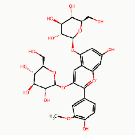 COc1cc(-c2[o+]c3cc(O)cc(O[C@@H]4O[C@H](CO)[C@@H](O)[C@H](O)[C@H]4O)c3cc2O[C@@H]2O[C@H](CO)[C@@H](O)[C@H](O)[C@H]2O)ccc1O